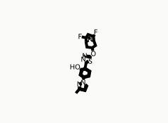 Cc1ccn(-c2ccc(-c3nnc(OC4CC5C(F)CC(F)C(C4)N5C)s3)c(O)c2)n1